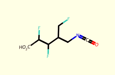 O=C=NCC(CF)C(F)C(F)C(=O)O